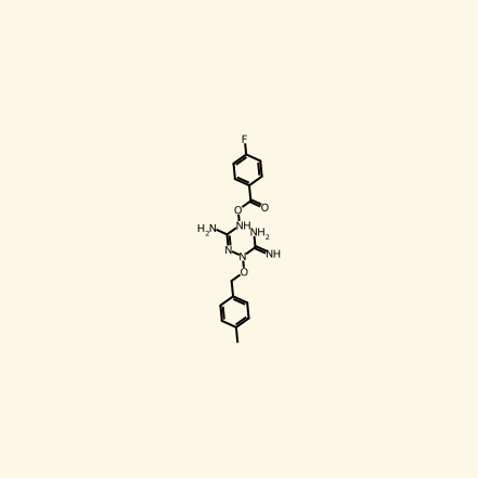 Cc1ccc(CON(N=C(N)NOC(=O)c2ccc(F)cc2)C(=N)N)cc1